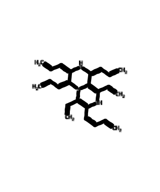 C=C/C=C\C1=C(C=C)N2C(=C(C=C)B1)/C(=C\C=C)BC(=C/C=C)/C2=C\C=C